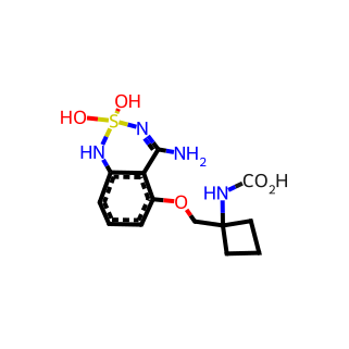 NC1=NS(O)(O)Nc2cccc(OCC3(NC(=O)O)CCC3)c21